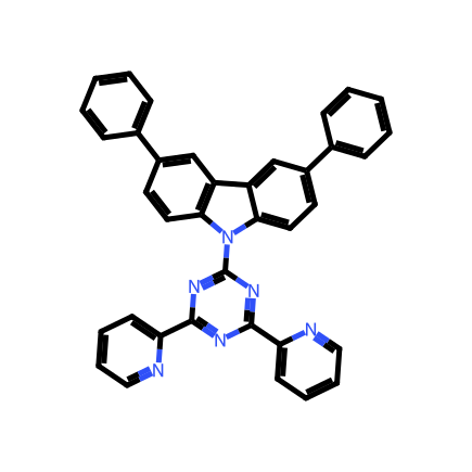 c1ccc(-c2ccc3c(c2)c2cc(-c4ccccc4)ccc2n3-c2nc(-c3ccccn3)nc(-c3ccccn3)n2)cc1